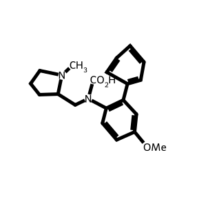 COc1ccc(N(CC2CCCN2C)C(=O)O)c(-c2ccccc2)c1